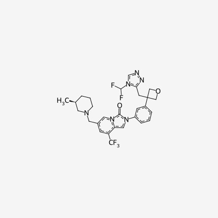 C[C@H]1CCCN(Cc2cc(C(F)(F)F)c3cn(-c4cccc(C5(Cc6nncn6C(F)F)COC5)c4)c(=O)n3c2)C1